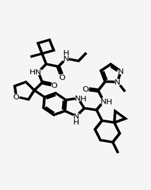 CCNC(=O)C(NC(=O)C1(c2ccc3c(c2)NC(C(NC(=O)c2ccnn2C)C2CCC(C)CC24CC4)N3)CCOC1)C1(C)CCC1